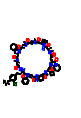 CC[C@H](C)[C@@H]1NC(=O)[C@H](C)N(C)C(=O)C[C@@H](C(=O)N2CCCCC2)N(C)C(=O)[C@H](C2CCC2)N(C)C(=O)C2(CCCC2)NC(=O)CN(c2ccccc2)C(=O)[C@H](CCc2ccc(C(F)(F)F)c(Cl)c2)NC(=O)CN(C)C(=O)[C@H](CC2CCCCC2)N(C)C(=O)CN(C)C(=O)CN(C)C1=O